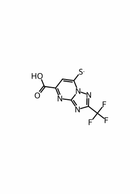 O=C(O)c1cc([S])n2nc(C(F)(F)F)nc2n1